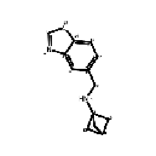 c1nc2cc(CNC34CC(C3)C4)ccc2s1